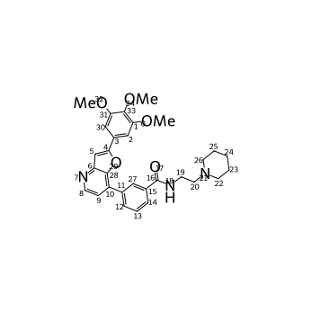 COc1cc(-c2cc3nccc(-c4cccc(C(=O)NCCN5CCCCC5)c4)c3o2)cc(OC)c1OC